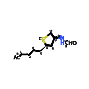 CC(=O)CCCC[C@H]1CC(NC=O)CS1